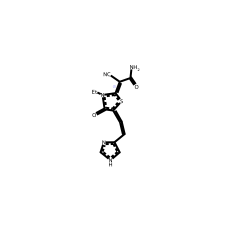 CCn1c(=O)c(=C=Cc2c[nH]cn2)s/c1=C(/C#N)C(N)=O